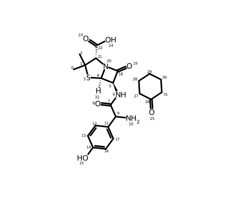 CC1(C)S[C@@H]2[C@H](NC(=O)C(N)c3ccc(O)cc3)C(=O)N2[C@H]1C(=O)O.O=C1CCCCC1